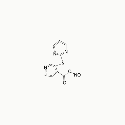 O=NOC(=O)c1ccncc1Sc1ncccn1